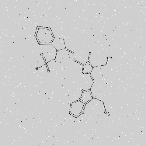 CCn1c(=O)c(=CC=C2Sc3ccccc3N2CS(=O)(=O)O)s/c1=C\c1sc2ccccc2[n+]1CC